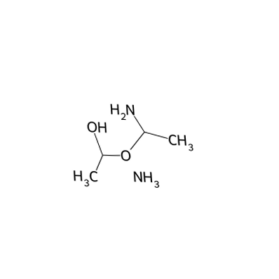 CC(N)OC(C)O.N